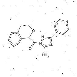 Nc1nc(-c2ccncc2)nn1C(=O)C1OCCc2ccccc21